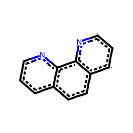 [c]1c[c]c2ccc3cccnc3c2n1